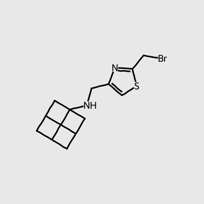 BrCc1nc(CNC23CC4CC5CC(C2)C543)cs1